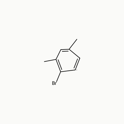 Cc1c[c]c(Br)c(C)c1